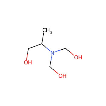 CC(CO)N(CO)CO